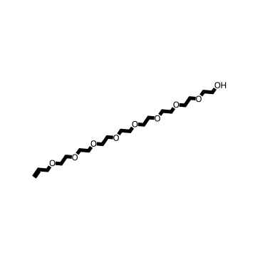 C=CCOCCOCCOCCOCCOCCOCCOCCOCCO